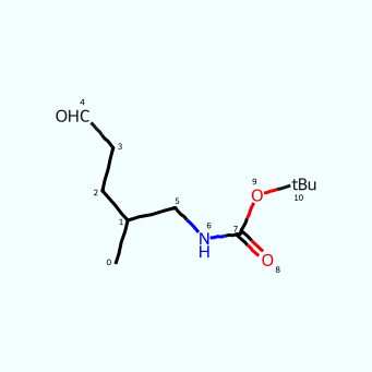 CC(CCC=O)CNC(=O)OC(C)(C)C